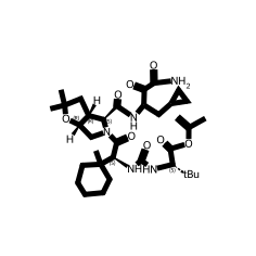 C=C(C)OC(=O)[C@@H](NC(=O)N[C@H](C(=O)N1C[C@@H]2OC(C)(C)C[C@@H]2[C@H]1C(=O)NC(CC1CC1)C(=O)C(N)=O)C1(C)CCCCC1)C(C)(C)C